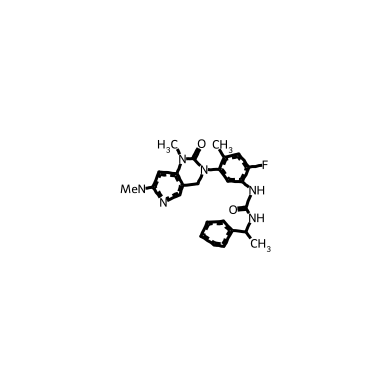 CNc1cc2c(cn1)CN(c1cc(NC(=O)NC(C)c3ccccc3)c(F)cc1C)C(=O)N2C